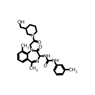 CC1=NC(NC(=O)Nc2cccc(C)c2)C(=O)N(CC(=O)N2CCCC(CO)C2)c2c(C)cccc21